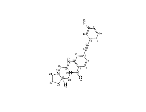 O=c1c2ccc(C#Cc3cccc(F)c3)cc2nc2n1C[C@H]1CCCN1C2